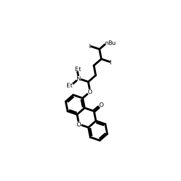 CCCCC(I)C(I)CCC(Oc1cccc2oc3ccccc3c(=O)c12)N(CC)CC